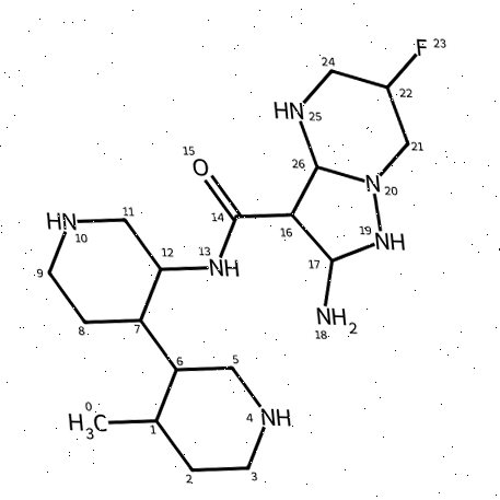 CC1CCNCC1C1CCNCC1NC(=O)C1C(N)NN2CC(F)CNC12